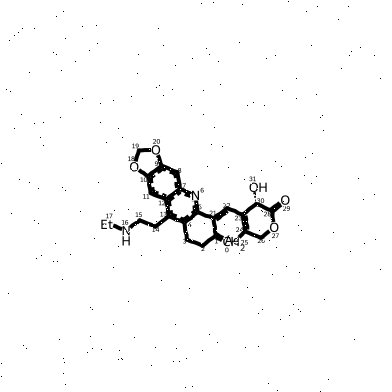 C=C1CCc2c(nc3cc4c(cc3c2CCNCC)OCO4)/C1=C/C1=C(C(C)=O)COC(=O)[C@H]1O